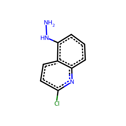 NNc1cccc2nc(Cl)ccc12